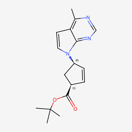 Cc1ncnc2c1ccn2[C@H]1C=C[C@@H](C(=O)OC(C)(C)C)C1